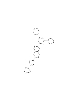 c1ccc(-c2nc(-c3ccccc3)nc(-c3ccc4cc(-c5ccc(-c6ccncc6)cn5)ccc4c3)n2)cc1